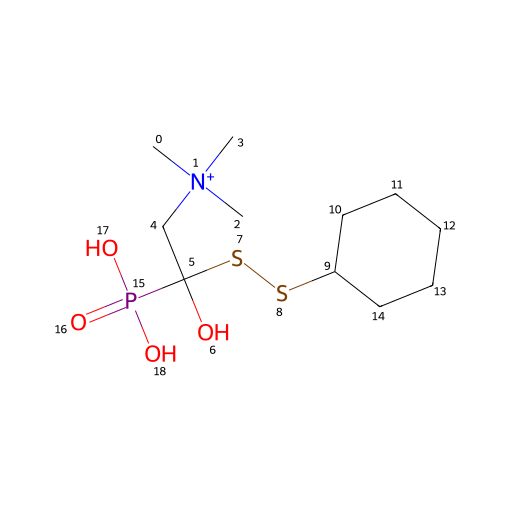 C[N+](C)(C)CC(O)(SSC1CCCCC1)P(=O)(O)O